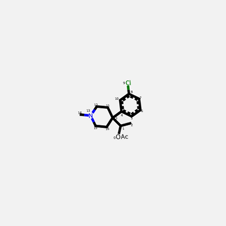 CC(=O)OC(C)C1(c2cccc(Cl)c2)CCN(C)CC1